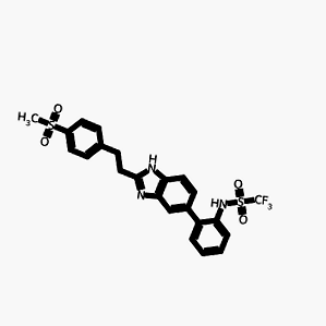 CS(=O)(=O)c1ccc(CCc2nc3cc(-c4ccccc4NS(=O)(=O)C(F)(F)F)ccc3[nH]2)cc1